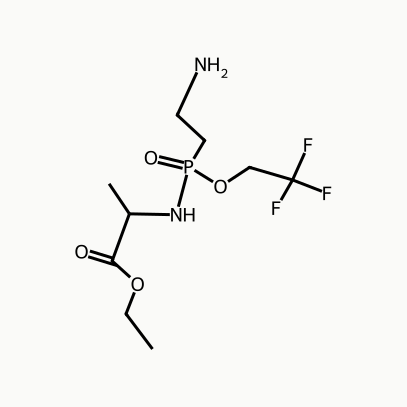 CCOC(=O)C(C)NP(=O)(CCN)OCC(F)(F)F